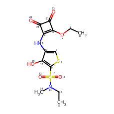 CCOc1c(Nc2csc(S(=O)(=O)N(C)CC)c2O)c(=O)c1=O